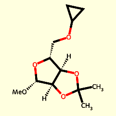 CO[C@@H]1O[C@H](COC2CC2)[C@H]2OC(C)(C)O[C@@H]12